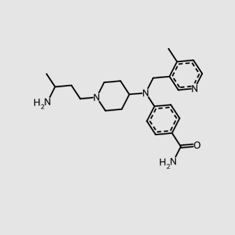 Cc1ccncc1CN(c1ccc(C(N)=O)cc1)C1CCN(CCC(C)N)CC1